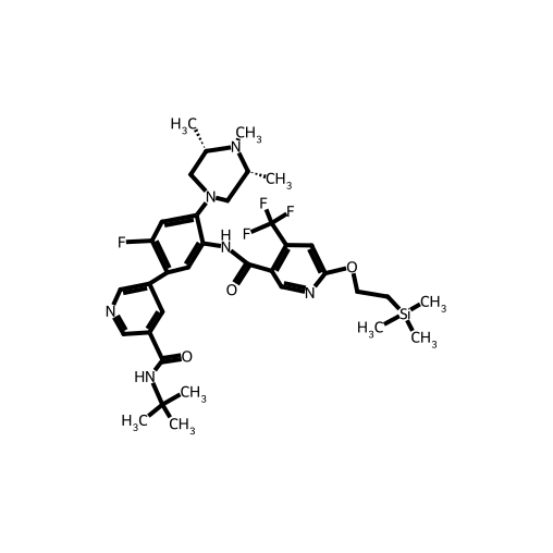 C[C@@H]1CN(c2cc(F)c(-c3cncc(C(=O)NC(C)(C)C)c3)cc2NC(=O)c2cnc(OCC[Si](C)(C)C)cc2C(F)(F)F)C[C@H](C)N1C